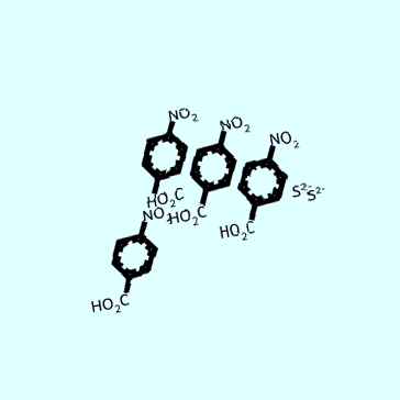 O=C(O)c1ccc([N+](=O)[O-])cc1.O=C(O)c1ccc([N+](=O)[O-])cc1.O=C(O)c1ccc([N+](=O)[O-])cc1.O=C(O)c1ccc([N+](=O)[O-])cc1.[S-2].[S-2]